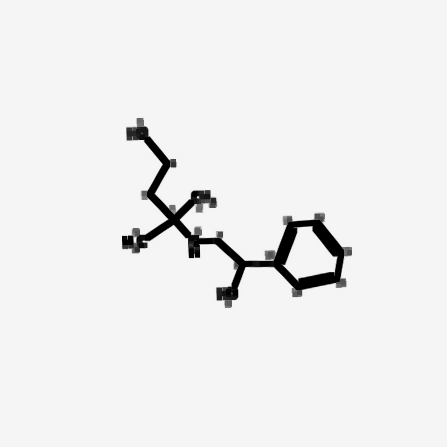 CC(C)(CCO)NCC(O)c1ccccc1